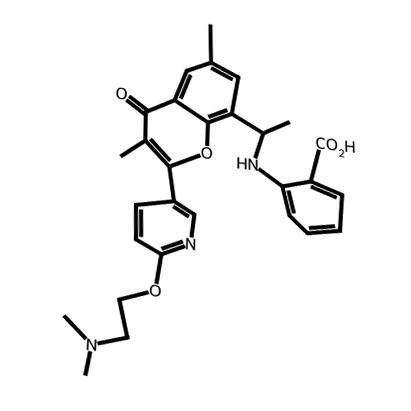 Cc1cc(C(C)Nc2ccccc2C(=O)O)c2oc(-c3ccc(OCCN(C)C)nc3)c(C)c(=O)c2c1